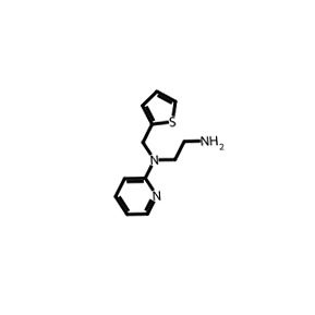 NCCN(Cc1cccs1)c1ccccn1